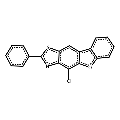 Clc1c2nc(-c3ccccc3)sc2cc2c1oc1ccccc12